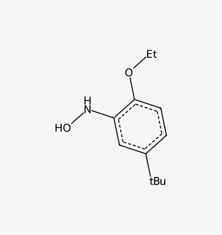 CCOc1ccc(C(C)(C)C)cc1NO